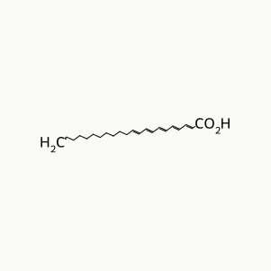 C=CCCCCCCCCCC=CC=CC=CC=CC=CC(=O)O